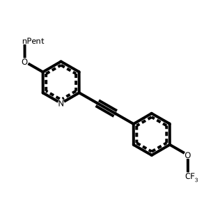 CCCCCOc1ccc(C#Cc2ccc(OC(F)(F)F)cc2)nc1